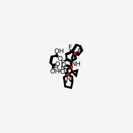 N[C@H](Cc1cc(F)c(F)cc1F)C1CC2CCC(C1)N2C(=O)C1(C(=O)NCc2ccccc2)CC1.O=C(O)/C=C\C(=O)O